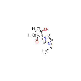 C=Cn1cc[n+](C(C(C)=O)C(C)=O)c1